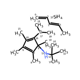 C=CC=CC.CC1=C(C)C(C)(NC(C)(C)C)[C]([Ti]([CH3])[CH3])=C1C.[SiH4]